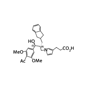 COc1cc([C@@H](O)[C@H](CC2Cc3ccccc3C2)Cn2ccc(CCC(=O)O)c2)cc(OC)c1C(C)=O